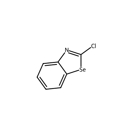 Clc1nc2ccccc2[se]1